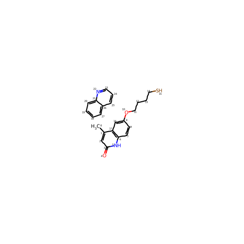 Cc1cc(=O)[nH]c2ccc(OCCCCS)cc12.c1ccc2ncccc2c1